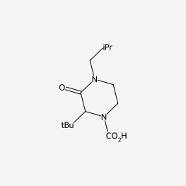 CC(C)CN1CCN(C(=O)O)C(C(C)(C)C)C1=O